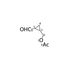 CC(=O)OCC1CC1C=O